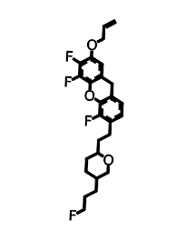 C=CCOc1cc2c(c(F)c1F)Oc1c(ccc(CCC3CCC(CCCF)CO3)c1F)C2